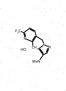 CNc1cnn(Cc2ccc(C(F)(F)F)nc2C)c1.Cl